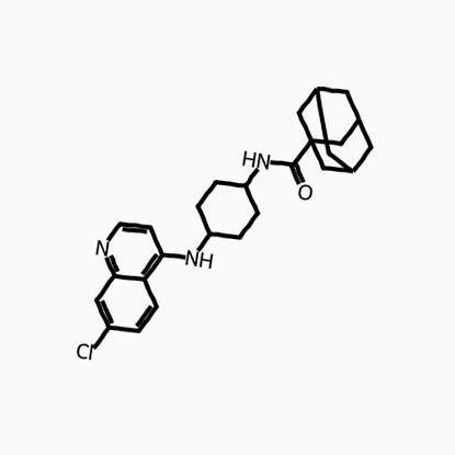 O=C(NC1CCC(Nc2ccnc3cc(Cl)ccc23)CC1)C12CC3CC(CC(C3)C1)C2